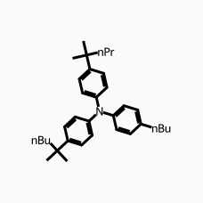 CCCCc1ccc(N(c2ccc(C(C)(C)CCC)cc2)c2ccc(C(C)(C)CCCC)cc2)cc1